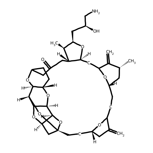 C=C1C[C@@H]2CC[C@@]34C[C@H]5OC6[C@@H](O[C@H]7CCC(CC(=O)C[C@@H]8[C@@H](C)[C@@H](C[C@H](O)CN)O[C@H]8CC8O[C@@H](CCC1O2)C[C@@H](C)C8=C)O[C@@H]7[C@@H]6O3)[C@H]5O4